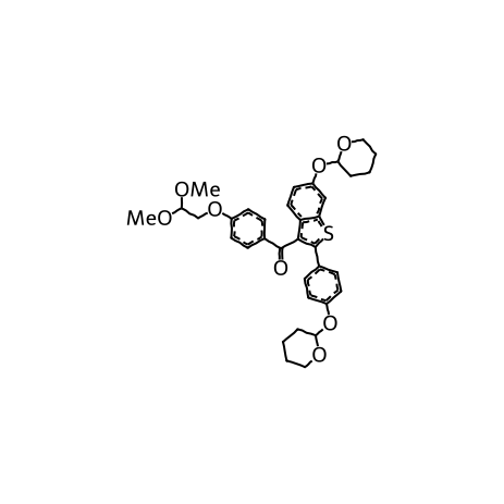 COC(COc1ccc(C(=O)c2c(-c3ccc(OC4CCCCO4)cc3)sc3cc(OC4CCCCO4)ccc23)cc1)OC